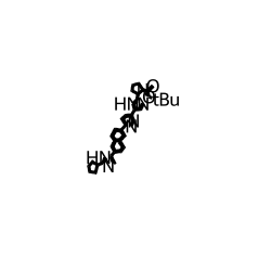 CC(C)(C)OC(=O)N1CCCC1c1ncc(-c2ccc(-c3ccc4cc(-c5cnc(C6CCCC6)[nH]5)ccc4c3)nn2)[nH]1